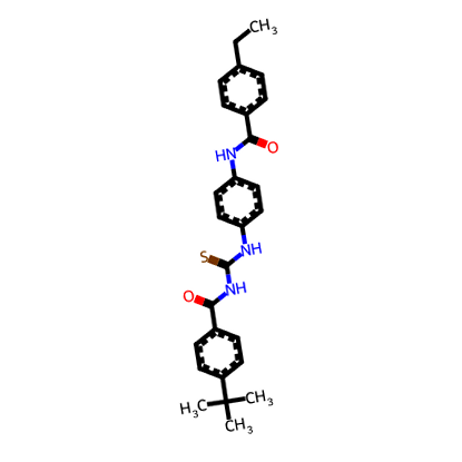 CCc1ccc(C(=O)Nc2ccc(NC(=S)NC(=O)c3ccc(C(C)(C)C)cc3)cc2)cc1